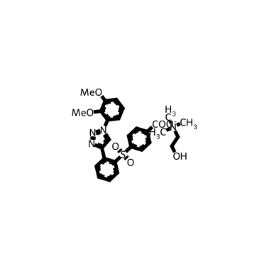 COc1cccc(-n2cc(-c3ccccc3S(=O)(=O)c3ccc(C(=O)[O-])cc3)nn2)c1OC.C[N+](C)(C)CCO